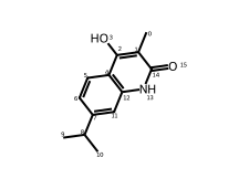 Cc1c(O)c2ccc(C(C)C)cc2[nH]c1=O